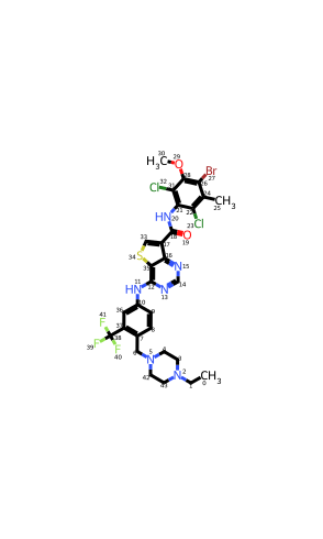 CCN1CCN(Cc2ccc(Nc3ncnc4c(C(=O)Nc5c(Cl)c(C)c(Br)c(OC)c5Cl)csc34)cc2C(F)(F)F)CC1